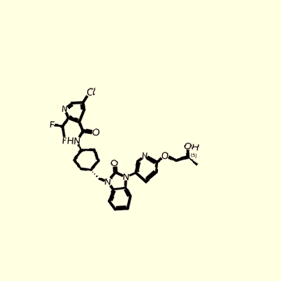 C[C@H](O)COc1ccc(-n2c(=O)n(C[C@H]3CC[C@H](NC(=O)c4cc(Cl)cnc4C(F)F)CC3)c3ccccc32)cn1